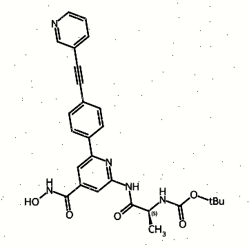 C[C@H](NC(=O)OC(C)(C)C)C(=O)Nc1cc(C(=O)NO)cc(-c2ccc(C#Cc3cccnc3)cc2)n1